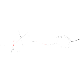 CC[Si](Cl)(CC)OC(C)(C)CCOCc1ccc(C)cc1